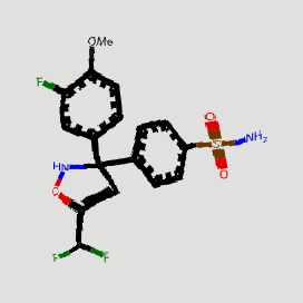 COc1ccc(C2(c3ccc(S(N)(=O)=O)cc3)C=C(C(F)F)ON2)cc1F